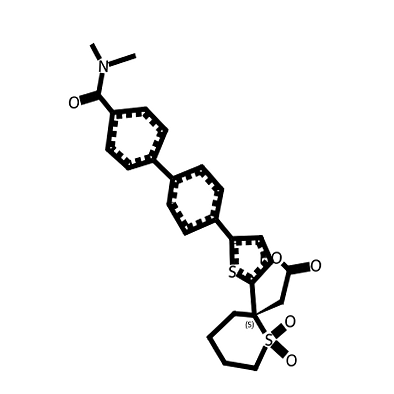 CN(C)C(=O)c1ccc(-c2ccc(-c3ccc([C@@]4(CC(=O)O)CCCCS4(=O)=O)s3)cc2)cc1